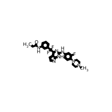 C=CC(=O)Nc1cccc(C(F)(F)c2nc(Nc3ccc(N4CCN(C)CC4)c(F)c3)[nH]c3nccc2-3)c1